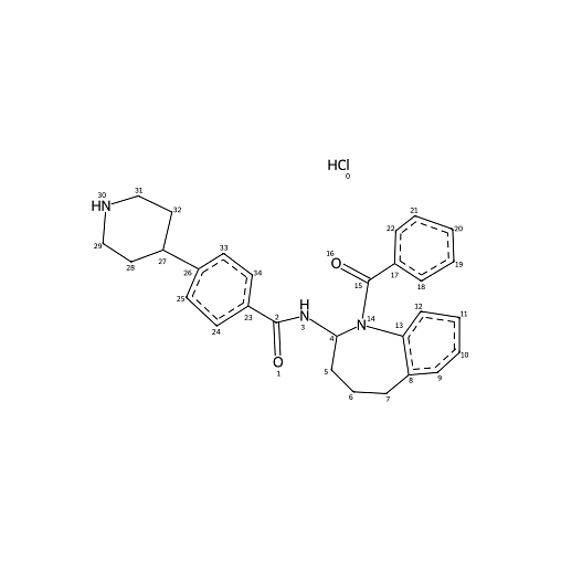 Cl.O=C(NC1CCCc2ccccc2N1C(=O)c1ccccc1)c1ccc(C2CCNCC2)cc1